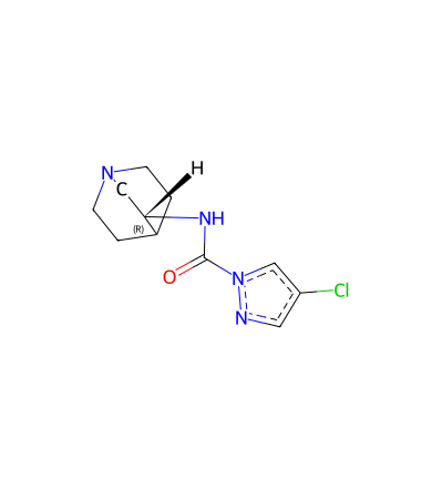 O=C(N[C@H]1CN2CCC1CC2)n1cc(Cl)cn1